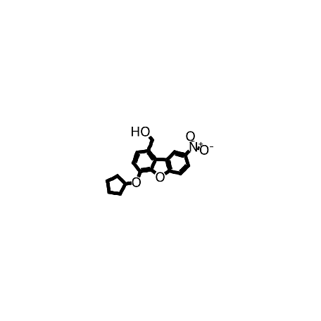 O=[N+]([O-])c1ccc2oc3c(OC4CCCC4)ccc(CO)c3c2c1